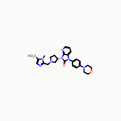 Cn1c(C(=O)O)cnc1CN1CC[C@H](n2c(=O)n(-c3ccc(N4CCOCC4)cc3)c3cccnc32)C1